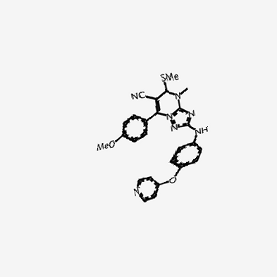 COc1ccc(C2=C(C#N)C(SC)N(C)c3nc(Nc4ccc(Oc5ccncc5)cc4)nn32)cc1